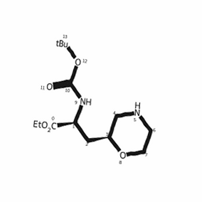 CCOC(=O)[C@H](C[C@H]1CNCCO1)NC(=O)OC(C)(C)C